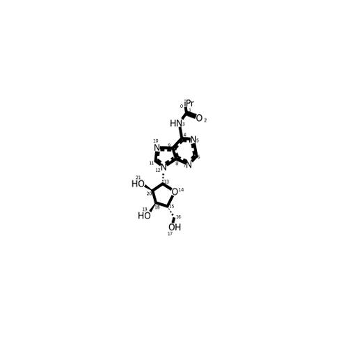 CC(C)C(=O)Nc1ncnc2c1ncn2[C@@H]1O[C@H](CO)[C@@H](O)[C@H]1O